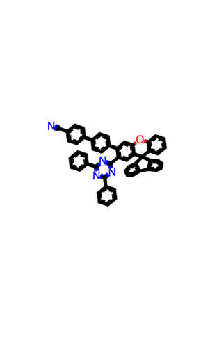 N#Cc1ccc(-c2ccc(-c3cc4c(cc3-c3nc(-c5ccccc5)nc(-c5ccccc5)n3)C3(c5ccccc5O4)c4ccccc4-c4ccccc43)cc2)cc1